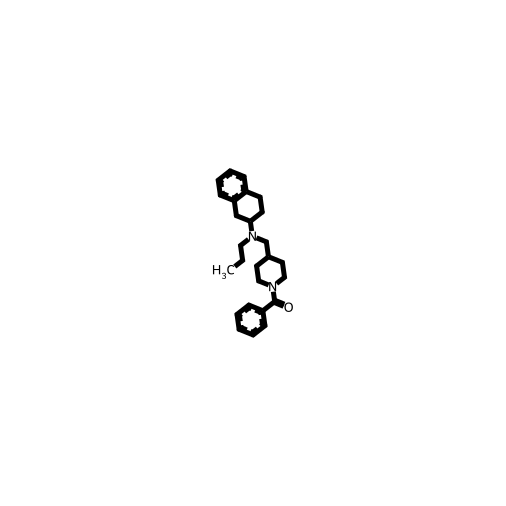 CCCN(CC1CCN(C(=O)c2ccccc2)CC1)C1CCc2ccccc2C1